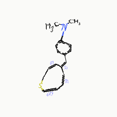 CN(C)c1ccc(/C=C2/C=C\C=C/SC\C=C/2)cc1